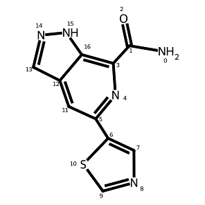 NC(=O)c1nc(-c2cncs2)cc2cn[nH]c12